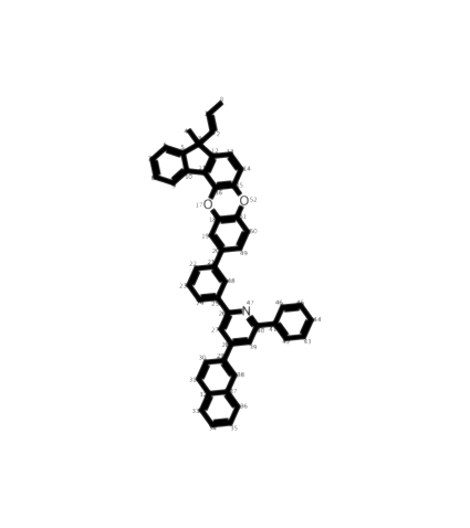 C/C=C/C1(C)c2ccccc2-c2c1ccc1c2Oc2cc(-c3cccc(-c4cc(-c5ccc6ccccc6c5)cc(-c5ccccc5)n4)c3)ccc2O1